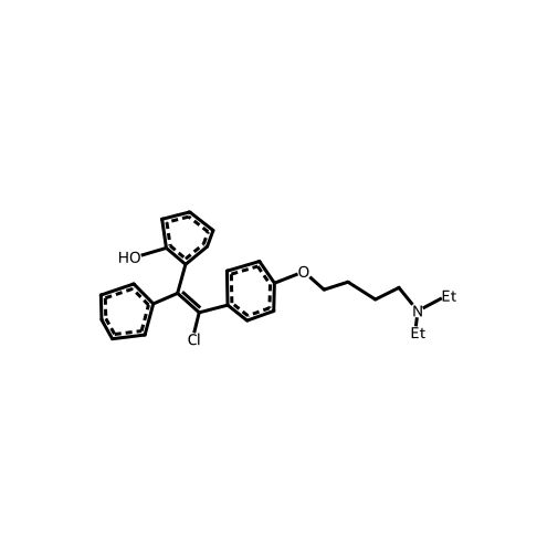 CCN(CC)CCCCOc1ccc(C(Cl)=C(c2ccccc2)c2ccccc2O)cc1